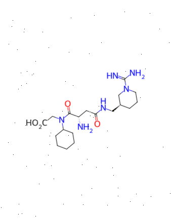 N=C(N)N1CCC[C@@H](CNC(=O)C[C@H](N)C(=O)N(CC(=O)O)C2CCCCC2)C1